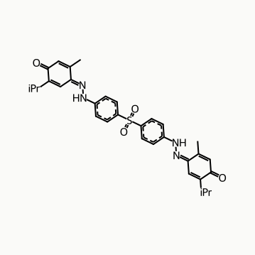 CC1=CC(=O)C(C(C)C)=C/C1=N/Nc1ccc(S(=O)(=O)c2ccc(N/N=C3\C=C(C(C)C)C(=O)C=C3C)cc2)cc1